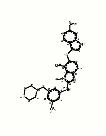 CNc1cn2ncc(Oc3cnc4nc(Nc5cc(CN6CCOCC6)cc(C(F)(F)F)c5)n(C)c4c3Cl)c2cn1